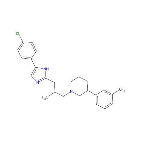 FC(F)(F)c1cccc(C2CCCN(CC(Cc3ncc(-c4ccc(Cl)cc4)[nH]3)C(F)(F)F)C2)c1